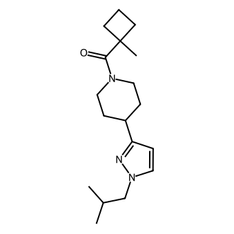 CC(C)Cn1ccc(C2CCN(C(=O)C3(C)CCC3)CC2)n1